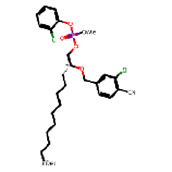 CCCCCCCCCCCCCCCCCCC[C@H](COP(=O)(OC)Oc1ccccc1Cl)OCc1ccc(C#N)c(Cl)c1